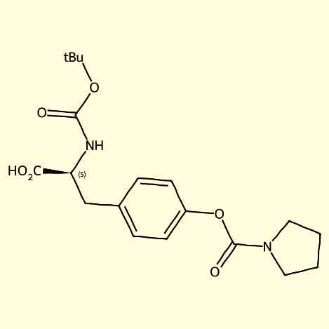 CC(C)(C)OC(=O)N[C@@H](Cc1ccc(OC(=O)N2CCCC2)cc1)C(=O)O